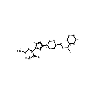 CNC(=O)C(CCC=O)n1cc(N2CCN(CCN(C)C3CCCCC3)CC2)cn1